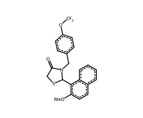 COc1ccc2ccccc2c1C1SCC(=O)N1Cc1ccc(OC(F)(F)F)cc1